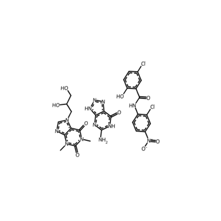 Cn1c(=O)c2c(ncn2CC(O)CO)n(C)c1=O.Nc1nc2[nH]nnc2c(=O)[nH]1.O=C(Nc1ccc([N+](=O)[O-])cc1Cl)c1cc(Cl)ccc1O